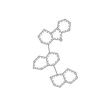 c1ccc2c(-c3ccc(-c4cccc5c4oc4ccccc45)c4ccccc34)cccc2c1